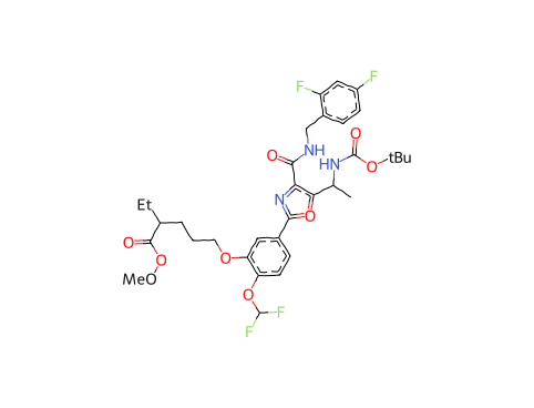 CCC(CCCOc1cc(-c2nc(C(=O)NCc3ccc(F)cc3F)c(C(C)NC(=O)OC(C)(C)C)o2)ccc1OC(F)F)C(=O)OOC